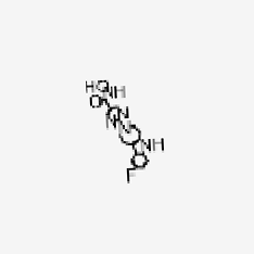 O=C(NO)c1cnc(N2CCC3=C(CC2)C2C=C(F)C=CC2N3)nc1